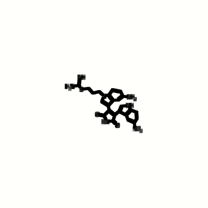 N=C(N)SCCCn1cc(C2=C(c3c[nH]c4ccc(N)cc34)C(=O)NC2=O)c2cc(N)ccc21